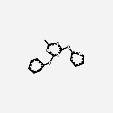 Cc1nc(Oc2ccccc2)nc(Oc2ccccc2)n1